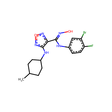 CC1CCC(Nc2nonc2/C(=N/O)Nc2ccc(F)c(Br)c2)CC1